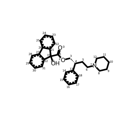 O=C(OC[C@H](CCN1CCCCC1)c1ccccc1)C1(O)c2ccccc2-c2ccccc21